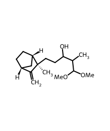 C=C1[C@@H]2CC[C@@H](C2)[C@@]1(C)CCC(O)C(C)C(OC)OC